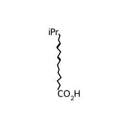 CC(C)CCC=CCC=CCCCCCCCC(=O)O